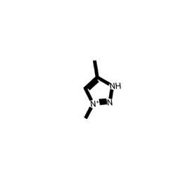 Cc1c[n+](C)n[nH]1